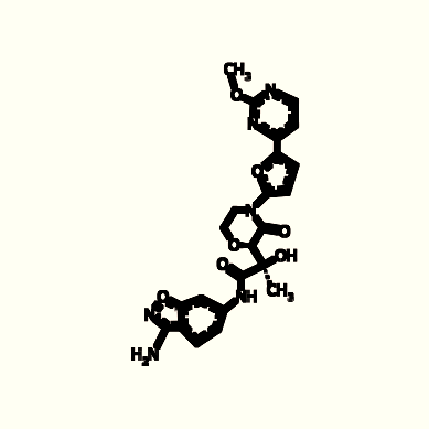 COc1nccc(-c2ccc(N3CCO[C@H]([C@@](C)(O)C(=O)Nc4ccc5c(N)noc5c4)C3=O)o2)n1